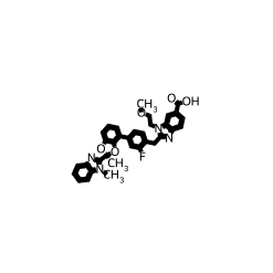 COCCn1c(Cc2ccc(-c3cccc4c3OC(C)(c3nc5ccccc5n3C)O4)cc2F)nc2ccc(C(=O)O)cc21